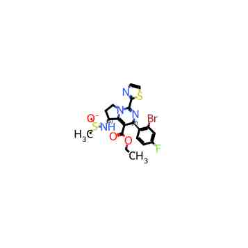 CCOC(=O)C1=C2[C@@H](N[S+](C)[O-])CCN2C(c2nccs2)=N[C@H]1c1ccc(F)cc1Br